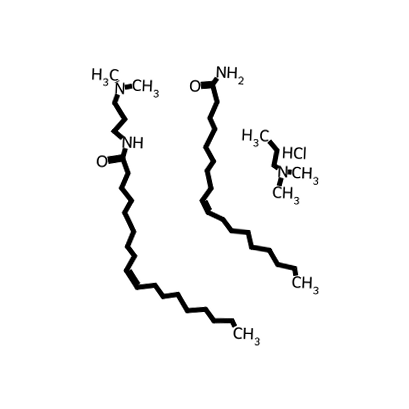 CCCCCCCC/C=C\CCCCCCCC(=O)NCCCN(C)C.CCCCCCCC/C=C\CCCCCCCC(N)=O.CCCN(C)C.Cl